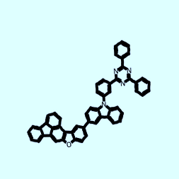 c1ccc(-c2nc(-c3ccccc3)nc(-c3cccc(-n4c5ccccc5c5cc(-c6ccc7oc8cc9c%10c(cccc%10c8c7c6)-c6ccccc6-9)ccc54)c3)n2)cc1